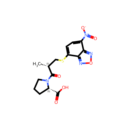 C[C@H](CSc1ccc([N+](=O)[O-])c2nonc12)C(=O)N1CCC[C@H]1C(=O)O